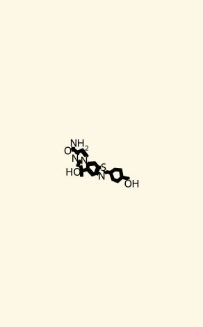 CC1N=C(C(N)=O)C=CN1c1cc2sc(C3CCC(CO)CC3)nc2cc1C(C)(C)O